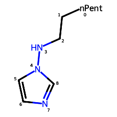 CCCCCCCNn1ccnc1